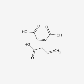 C=CCC(=O)O.O=C(O)/C=C\C(=O)O